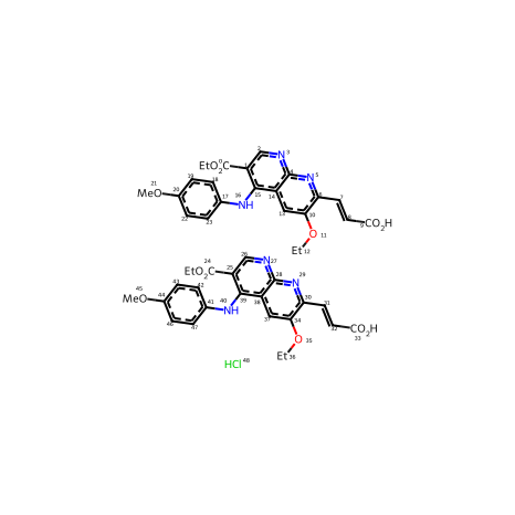 CCOC(=O)c1cnc2nc(C=CC(=O)O)c(OCC)cc2c1Nc1ccc(OC)cc1.CCOC(=O)c1cnc2nc(C=CC(=O)O)c(OCC)cc2c1Nc1ccc(OC)cc1.Cl